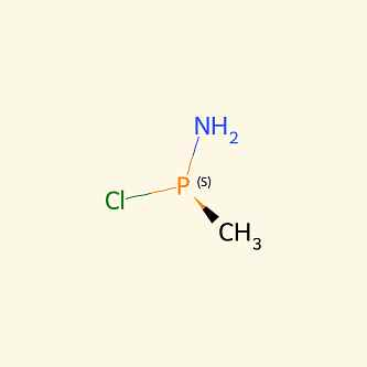 C[P@](N)Cl